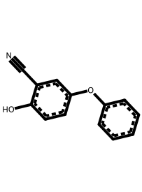 N#Cc1cc(Oc2ccccc2)ccc1O